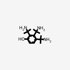 CC(C)(N)c1ccc(O)c(C(C)(C)N)c1C(C)(C)N